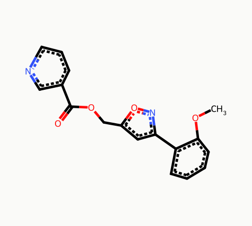 COc1ccccc1-c1cc(COC(=O)c2cccnc2)on1